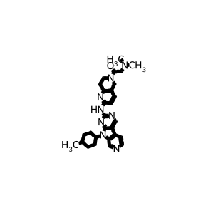 CC1CCC(n2c3cnccc3c3cnc(Nc4ccc5c(n4)CCN(C(=O)CN(C)C)C5)nc32)CC1